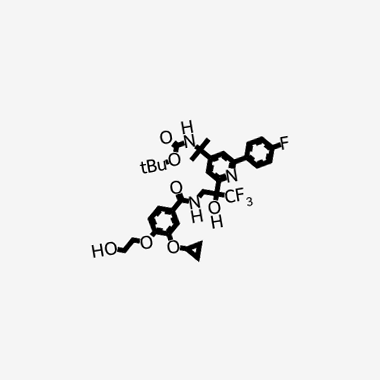 CC(C)(C)OC(=O)NC(C)(C)c1cc(-c2ccc(F)cc2)nc(C(O)(CNC(=O)c2ccc(OCCO)c(OC3CC3)c2)C(F)(F)F)c1